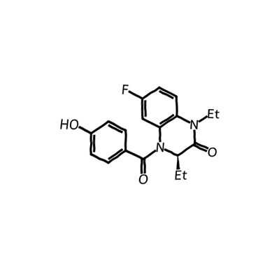 CC[C@@H]1C(=O)N(CC)c2ccc(F)cc2N1C(=O)c1ccc(O)cc1